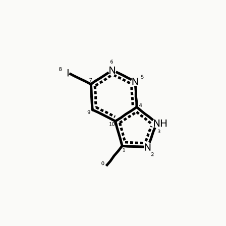 Cc1n[nH]c2nnc(I)cc12